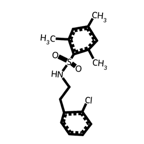 Cc1cc(C)c(S(=O)(=O)NCCc2ccccc2Cl)c(C)c1